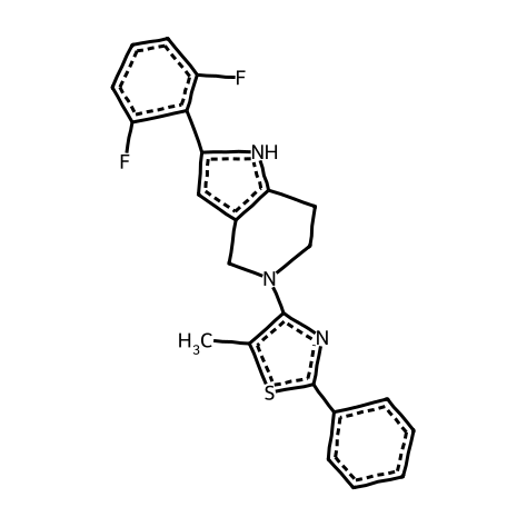 Cc1sc(-c2ccccc2)nc1N1CCc2[nH]c(-c3c(F)cccc3F)cc2C1